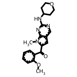 COc1ccccc1C(=O)c1cc2cnc(NC3CCOCC3)nc2n1C